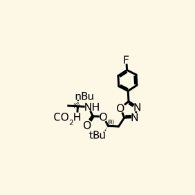 CCCC[C@](C)(NC(=O)O[C@H](Cc1nnc(-c2ccc(F)cc2)o1)C(C)(C)C)C(=O)O